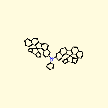 c1ccc(N(c2ccc3c4c(ccc3c2)-c2ccc3ccccc3c2C42c3ccccc3-c3ccccc32)c2ccc3c4c(ccc3c2)-c2ccc3ccccc3c2C42c3ccccc3-c3ccccc32)cc1